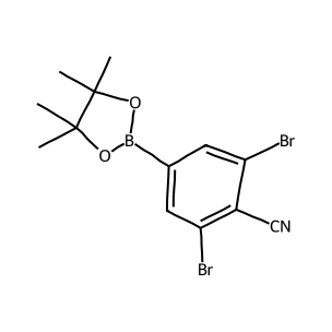 CC1(C)OB(c2cc(Br)c(C#N)c(Br)c2)OC1(C)C